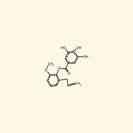 C=CCc1cccc(OC)c1OC(=O)c1cc(O)c(O)c(O)c1